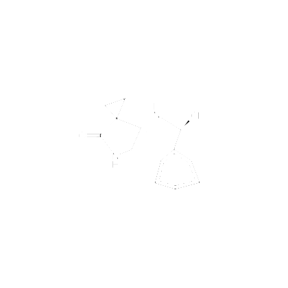 C[C@H](N[C@@H]1CNC(=O)C12CC2)c1ccccc1